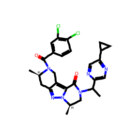 CC(c1cnc(C2CC2)cn1)N1C[C@@H](C)n2nc3c(c2C1=O)CN(C(=O)c1ccc(Cl)c(Cl)c1)[C@H](C)C3